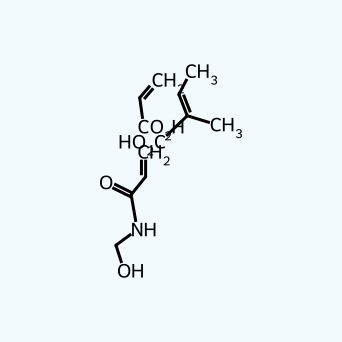 C=CC(=O)NCO.C=CC(=O)O.CC=C(C)C(=O)O